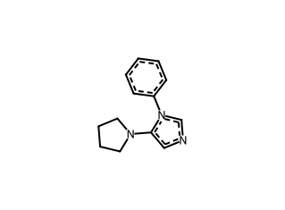 c1ccc(-n2cncc2N2CCCC2)cc1